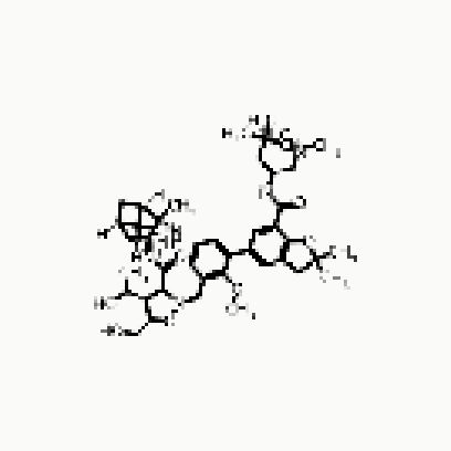 COc1c(CN2O[C@@H](CO)[C@@H]([C@H](C)O)[C@H]2C(=O)N[C@H]2C[C@H]3C[C@@H]([C@@H]2C)C3(C)C)cccc1-c1cc2c(c(C(=O)N[C@H](CN(C)C)CC(C)(C)C)c1)OC(C)(C)C2